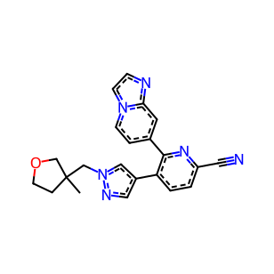 CC1(Cn2cc(-c3ccc(C#N)nc3-c3ccn4ccnc4c3)cn2)CCOC1